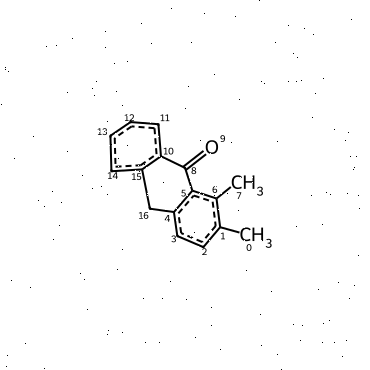 Cc1ccc2c(c1C)C(=O)c1ccccc1C2